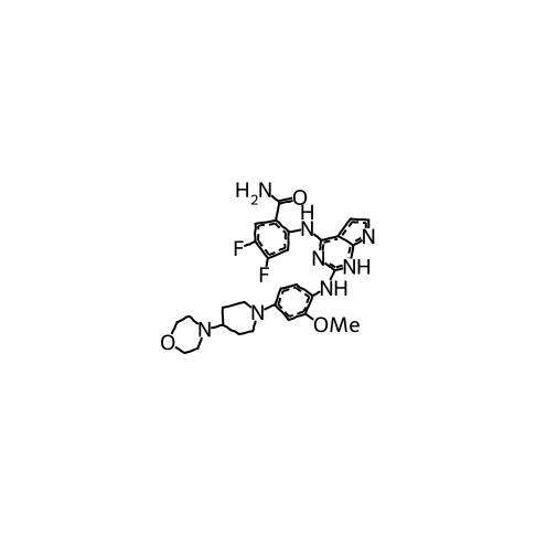 COc1cc(N2CCC(N3CCOCC3)CC2)ccc1Nc1nc(Nc2cc(F)c(F)cc2C(N)=O)c2ccnc-2[nH]1